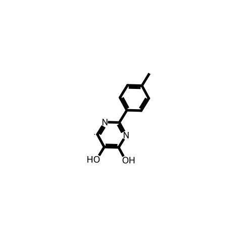 Cc1ccc(-c2n[c]c(O)c(O)n2)cc1